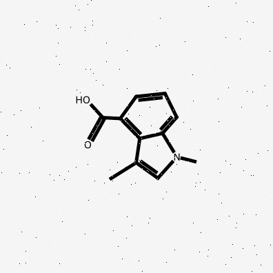 Cc1cn(C)c2cccc(C(=O)O)c12